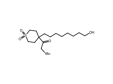 CC(C)(C)CC(=O)C1(CCCCCCCCO)CCS(=O)(=O)CC1